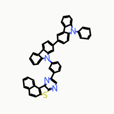 c1ccc(-n2c3ccccc3c3cc(-c4ccc5c6ccccc6n(-c6cccc(-c7cnc8sc9ccc%10ccccc%10c9c8n7)c6)c5c4)ccc32)cc1